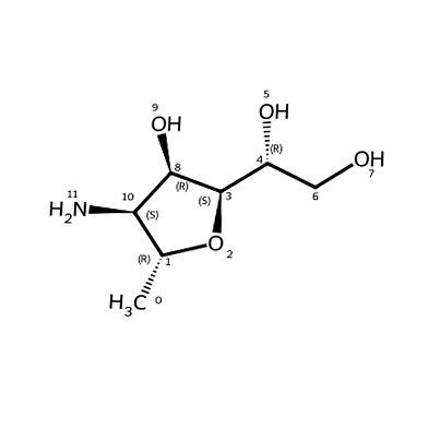 C[C@H]1O[C@H]([C@H](O)CO)[C@H](O)[C@@H]1N